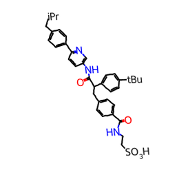 CC(C)Cc1ccc(-c2ccc(NC(=O)C(Cc3ccc(C(=O)NCCS(=O)(=O)O)cc3)c3ccc(C(C)(C)C)cc3)cn2)cc1